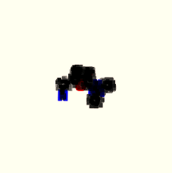 N#Cc1cccc(-c2ccc3c(c2)Oc2cc(-c4nc(-c5ccccc5)nc(-c5ccccc5)n4)ccc2C32c3ccccc3-c3ccccc32)c1